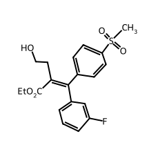 CCOC(=O)C(CCO)=C(c1ccc(S(C)(=O)=O)cc1)c1cccc(F)c1